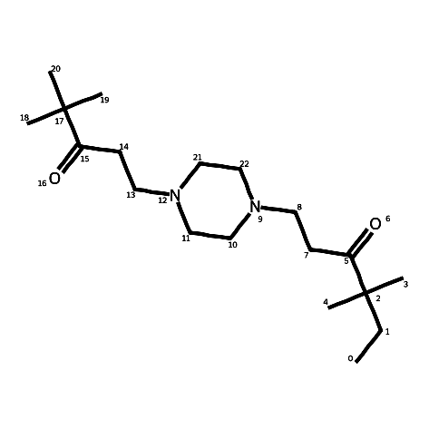 CCC(C)(C)C(=O)CCN1CCN(CCC(=O)C(C)(C)C)CC1